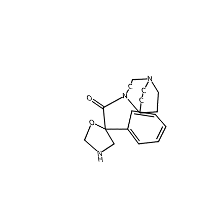 O=C(N1CCN2CCC1CC2)C1(c2ccccc2)CNCO1